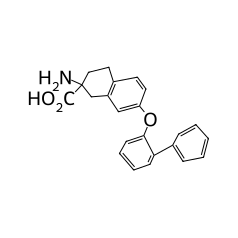 NC1(C(=O)O)CCc2ccc(Oc3ccccc3-c3ccccc3)cc2C1